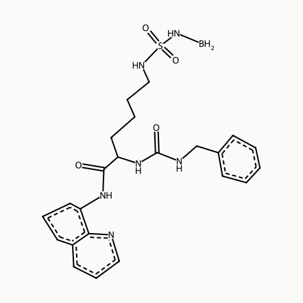 BNS(=O)(=O)NCCCCC(NC(=O)NCc1ccccc1)C(=O)Nc1cccc2cccnc12